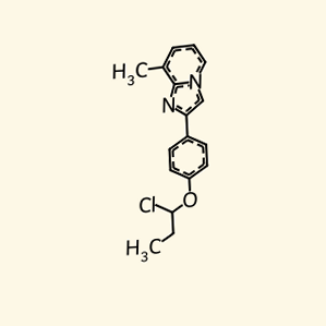 CCC(Cl)Oc1ccc(-c2cn3cccc(C)c3n2)cc1